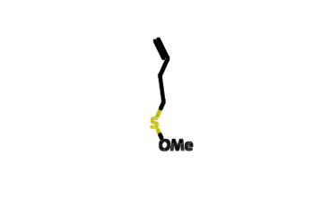 C=CCCSOC